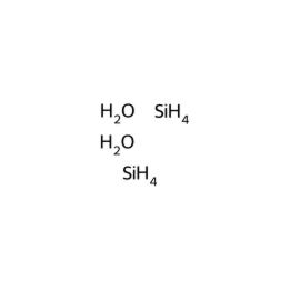 O.O.[SiH4].[SiH4]